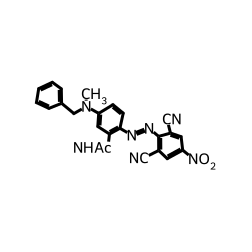 CC(=O)Nc1cc(N(C)Cc2ccccc2)ccc1/N=N/c1c(C#N)cc([N+](=O)[O-])cc1C#N